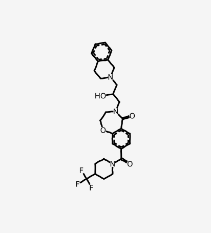 O=C(c1ccc2c(c1)OCCN(CC(O)CN1CCc3ccccc3C1)C2=O)N1CCC(C(F)(F)F)CC1